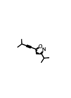 CC(C)C#Cc1cc(C(C)C)no1